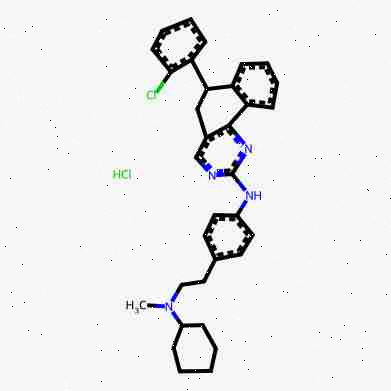 CN(CCc1ccc(Nc2ncc3c(n2)-c2ccccc2C(c2ccccc2Cl)C3)cc1)C1CCCCC1.Cl